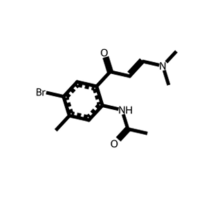 CC(=O)Nc1cc(C)c(Br)cc1C(=O)C=CN(C)C